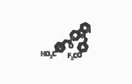 O=C(CC12CCC(C(=O)O)(CC1)CC2)N1CCc2c(n(Cc3ccc(OC(F)(F)F)cc3)c3ncccc23)C1